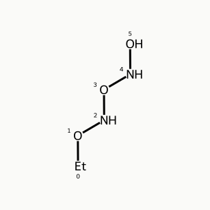 CCONONO